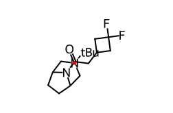 CC(C)(C)N1CC2CCC(C1)N2C(=O)CC1CC(F)(F)C1